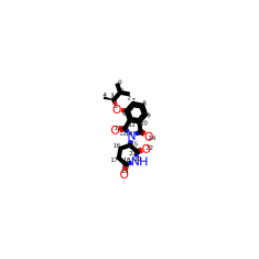 CC(C)[C@H](C)Oc1cccc2c1C(=O)N(C1CCC(=O)NC1=O)C2=O